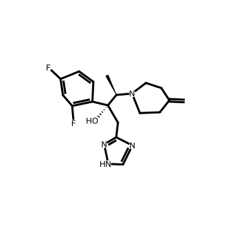 C=C1CCN([C@H](C)[C@@](O)(Cc2nc[nH]n2)c2ccc(F)cc2F)CC1